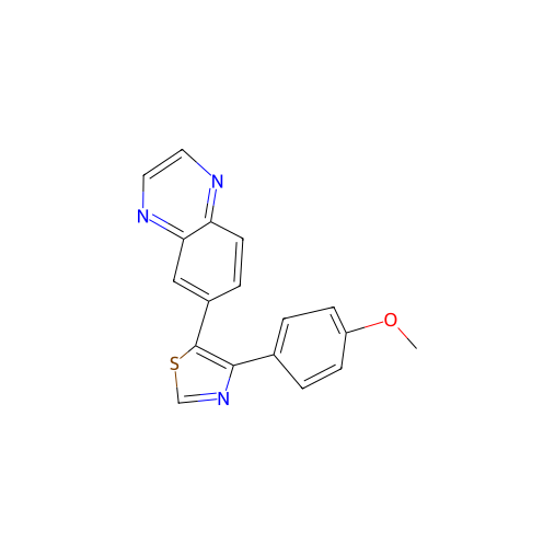 COc1ccc(-c2ncsc2-c2ccc3nccnc3c2)cc1